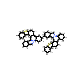 c1ccc2c(c1)cn1c3ccc(-c4ccc5cn6c7ccccc7c7ccc8c9ccccc9sc8c7c6c5c4)cc3c3ccc4sc5ccccc5c4c3c21